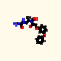 C[C@@H](CNC(N)=O)N(O)C(=O)COc1cccc(Oc2ccccc2)c1